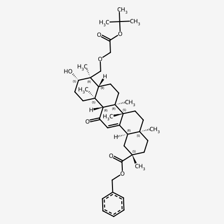 CC(C)(C)OC(=O)COC[C@@]1(C)[C@@H]2CC[C@]3(C)[C@H](C(=O)C=C4[C@@H]5C[C@@](C)(C(=O)OCc6ccccc6)CC[C@]5(C)CC[C@]43C)[C@@]2(C)CC[C@@H]1O